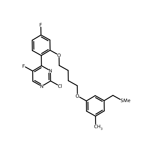 CSCc1cc(C)cc(OCCCCOc2cc(F)ccc2-c2nc(Cl)ncc2F)c1